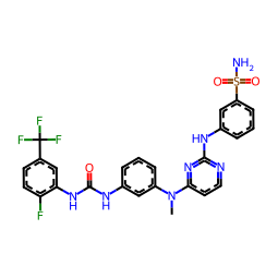 CN(c1cccc(NC(=O)Nc2cc(C(F)(F)F)ccc2F)c1)c1ccnc(Nc2cccc(S(N)(=O)=O)c2)n1